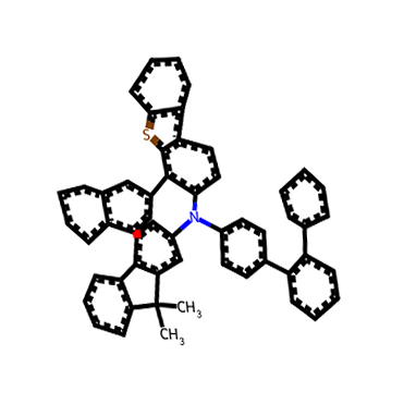 CC1(C)c2ccccc2-c2ccc(N(c3ccc(-c4ccccc4-c4ccccc4)cc3)c3ccc4c(sc5ccccc54)c3-c3ccc4ccccc4c3)cc21